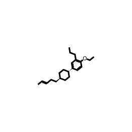 CC=CCC[C@H]1CC[C@H](c2ccc(OCC)c(CCC)c2)CC1